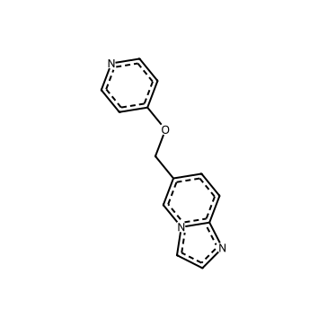 c1cc(OCc2ccc3nccn3c2)ccn1